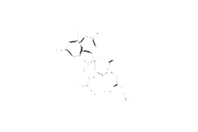 CC(=O)N[C@@H](C)[C@H](O)CN(c1cc(F)cc(F)c1)C1(c2cccc(C(C)C)c2)CCN(CC(=O)OC(C)C)C(=O)C1